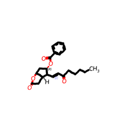 CCCCCC(=O)/C=C/C1[C@H]2CC(=O)OC2C[C@H]1OC(=O)c1ccccc1